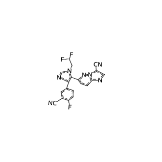 N#Cc1cc(-c2ncn(CC(F)F)c2-c2ccc3ncc(C#N)n3n2)ccc1F